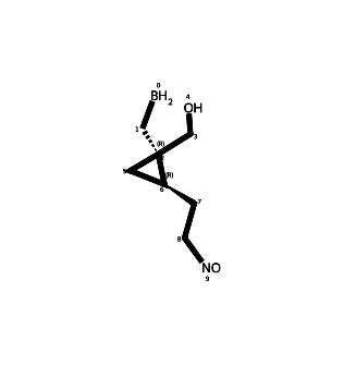 BC[C@@]1(CO)C[C@@H]1CCN=O